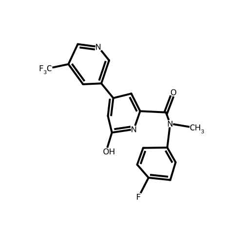 CN(C(=O)c1cc(-c2cncc(C(F)(F)F)c2)cc(O)n1)c1ccc(F)cc1